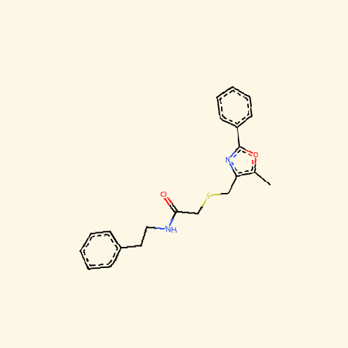 Cc1oc(-c2ccccc2)nc1CSCC(=O)NCCc1ccccc1